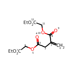 C=C(CC(=O)OCC(=O)OCC)C(=O)OCC(=O)OCC